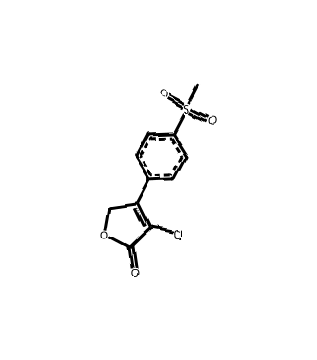 CS(=O)(=O)c1ccc(C2=C(Cl)C(=O)OC2)cc1